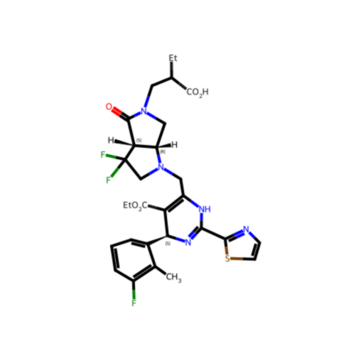 CCOC(=O)C1=C(CN2CC(F)(F)[C@@H]3C(=O)N(CC(CC)C(=O)O)C[C@@H]32)NC(c2nccs2)=N[C@H]1c1cccc(F)c1C